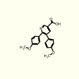 COc1ccc(-c2cc(C(=O)O)cnc2-c2ccc(OC)cc2)cc1